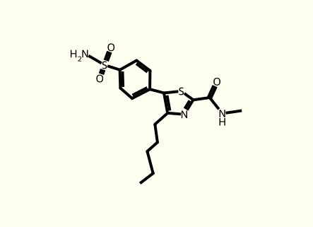 CCCCCc1nc(C(=O)NC)sc1-c1ccc(S(N)(=O)=O)cc1